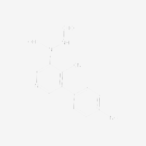 N#Cc1c(-c2ccc(N=O)cc2)cncc1N(C=O)NC=O